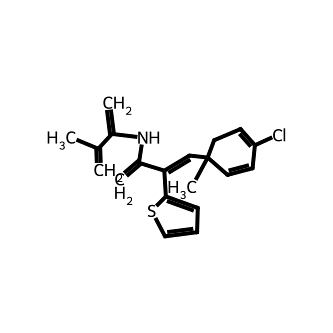 C=C(C)C(=C)NC(=C)/C(=C/C1(C)C=CC(Cl)=CC1)c1cccs1